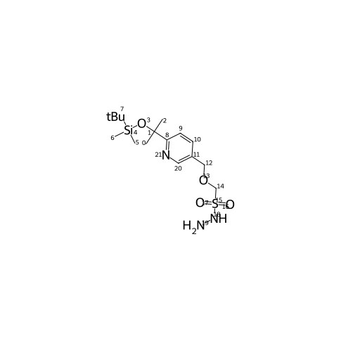 CC(C)(O[Si](C)(C)C(C)(C)C)c1ccc(COCS(=O)(=O)NN)cn1